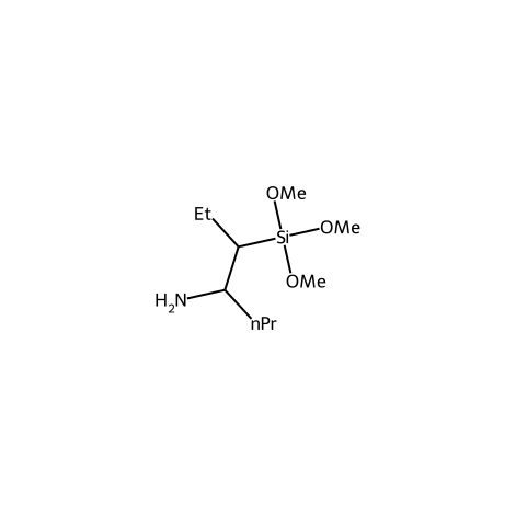 CCCC(N)C(CC)[Si](OC)(OC)OC